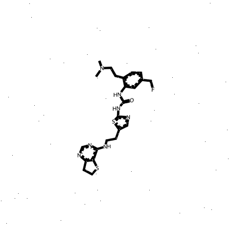 CN(C)CCc1ccc(CF)cc1NC(=O)Nc1ncc(CCNc2ncnc3c2SCC3)s1